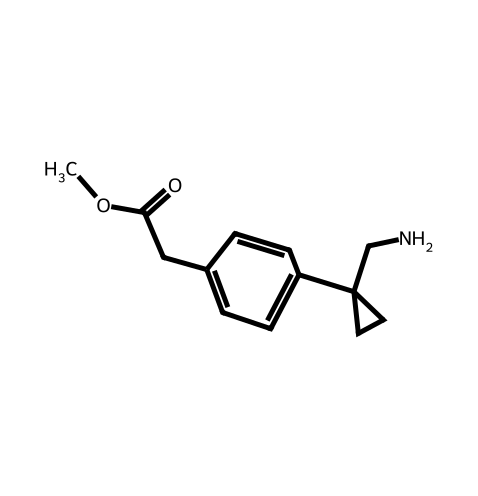 COC(=O)Cc1ccc(C2(CN)CC2)cc1